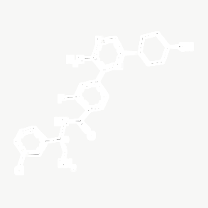 NC[C@@H](NC(=O)c1ccc(-c2nc([C@H]3CC[C@@H](O)CC3)cnc2N)cc1F)c1cccc(Cl)c1